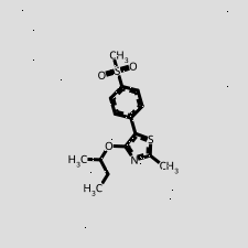 CCC(C)Oc1nc(C)sc1-c1ccc(S(C)(=O)=O)cc1